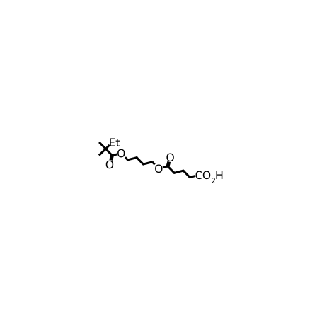 CCC(C)(C)C(=O)OCCCCOC(=O)CCCC(=O)O